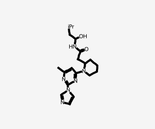 Cc1cc(N2CCCCC2CC(=O)NC(O)CC(C)C)nc(-n2ccnc2)n1